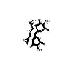 C(OCC1CO1)C1CO1.Cc1cc(Cc2cc(C)c(O)c(C)c2)cc(C)c1O